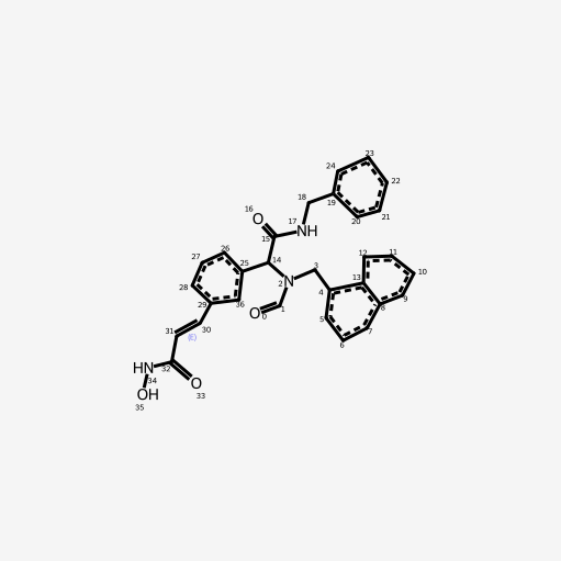 O=CN(Cc1cccc2ccccc12)C(C(=O)NCc1ccccc1)c1cccc(/C=C/C(=O)NO)c1